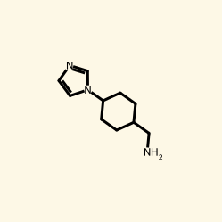 NCC1CCC(n2ccnc2)CC1